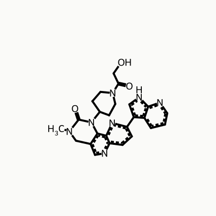 CN1Cc2cnc3ccc(-c4c[nH]c5ncccc45)nc3c2N(C2CCN(C(=O)CO)CC2)C1=O